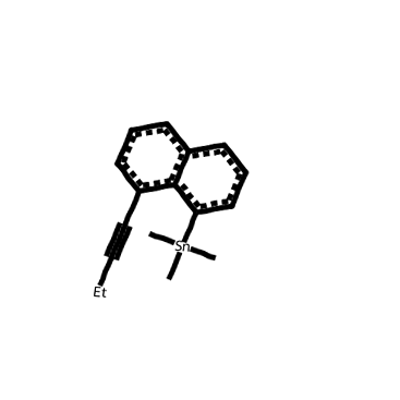 CCC#Cc1cccc2ccc[c]([Sn]([CH3])([CH3])[CH3])c12